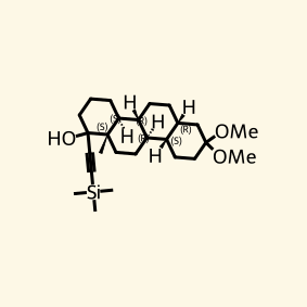 COC1(OC)CC[C@H]2[C@H](CC[C@@H]3[C@@H]2CC[C@@]2(C)[C@H]3CCCC2(O)C#C[Si](C)(C)C)C1